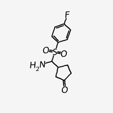 NC(C1CCC(=O)C1)S(=O)(=O)c1ccc(F)cc1